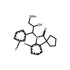 CNCC(O)C(c1cccc(F)c1)N1C(=O)C2(CCCC2)c2cccc(F)c21